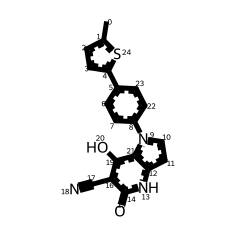 Cc1ccc(-c2ccc(-n3ccc4[nH]c(=O)c(C#N)c(O)c43)cc2)s1